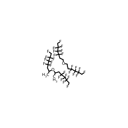 CC(CC(F)(F)C(F)(F)C(F)(F)CF)OC(C)CC(F)(F)C(F)(F)C(F)(F)CF.FCC(F)(F)C(F)(F)C(F)(F)CCOCCC(F)(F)C(F)(F)C(F)(F)CF